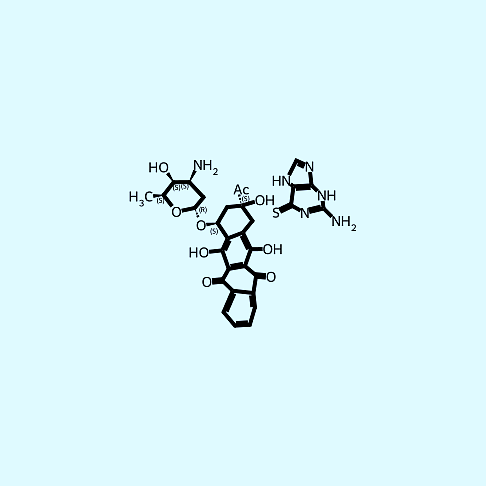 CC(=O)[C@]1(O)Cc2c(O)c3c(c(O)c2[C@@H](O[C@H]2C[C@H](N)[C@H](O)[C@H](C)O2)C1)C(=O)c1ccccc1C3=O.Nc1nc(=S)c2[nH]cnc2[nH]1